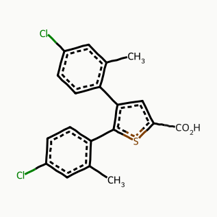 Cc1cc(Cl)ccc1-c1cc(C(=O)O)sc1-c1ccc(Cl)cc1C